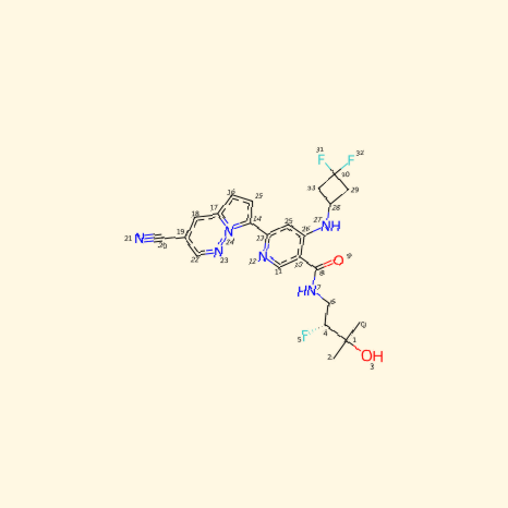 CC(C)(O)[C@H](F)CNC(=O)c1cnc(-c2ccc3cc(C#N)cnn23)cc1NC1CC(F)(F)C1